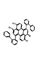 Brc1ccc2c3c(-c4ccccc4-c4ccccc4)cc(Br)c4c(Br)ccc(c5c(-c6ccccc6-c6ccccc6)cc(Br)c1c25)c43